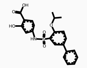 CC(C)Oc1ccc(-c2ccccc2)cc1S(=O)(=O)Nc1ccc(C(=O)O)c(O)c1